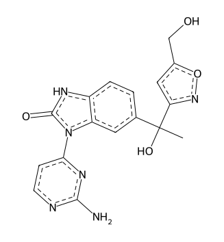 CC(O)(c1ccc2[nH]c(=O)n(-c3ccnc(N)n3)c2c1)c1cc(CO)on1